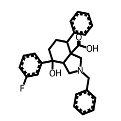 O=C(O)C12CN(Cc3ccccc3)CC1C(O)(c1cccc(F)c1)CCC2c1ccccc1